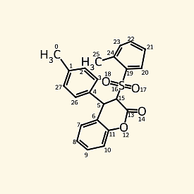 Cc1ccc(C2c3ccccc3OC(=O)C2S(=O)(=O)c2ccccc2C)cc1